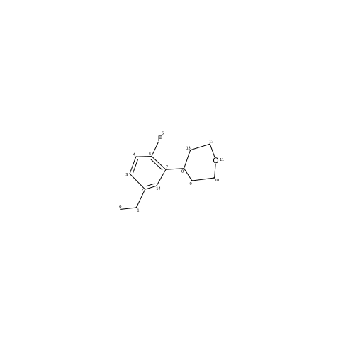 CCc1ccc(F)c(C2CCOCC2)c1